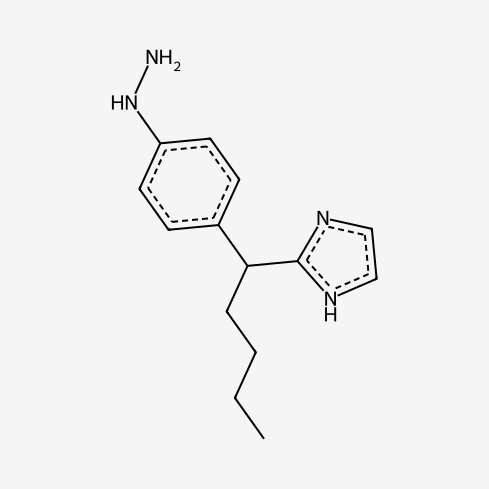 CCCCC(c1ccc(NN)cc1)c1ncc[nH]1